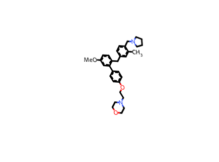 COc1ccc(Cc2ccc(CN3CCCC3)c(C)c2)c(-c2ccc(OCCN3CCOCC3)cc2)c1